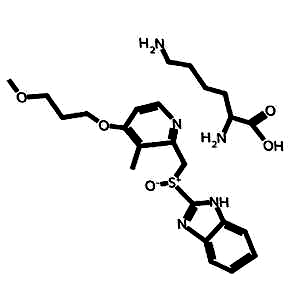 COCCCOc1ccnc(C[S+]([O-])c2nc3ccccc3[nH]2)c1C.NCCCCC(N)C(=O)O